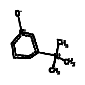 C[N+](C)(C)c1ccc[n+]([O-])c1